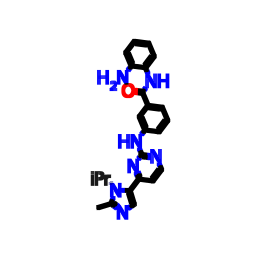 Cc1ncc(-c2ccnc(Nc3cccc(C(=O)Nc4ccccc4N)c3)n2)n1C(C)C